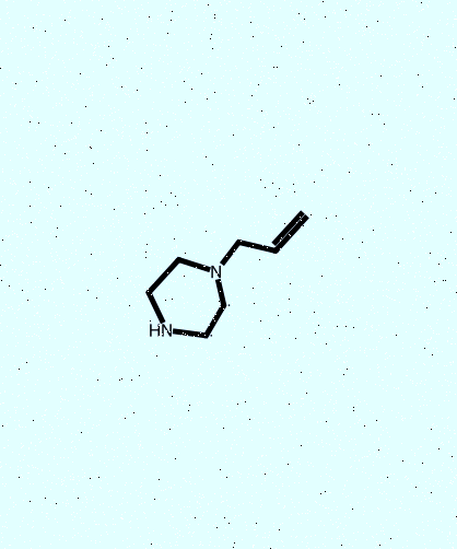 C=CCN1[CH][CH]NCC1